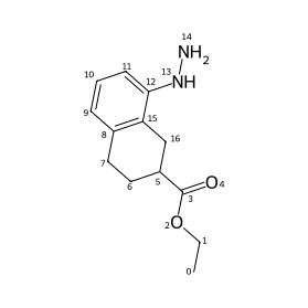 CCOC(=O)C1CCc2cccc(NN)c2C1